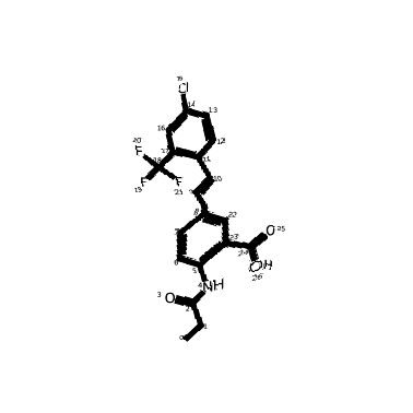 CCC(=O)Nc1ccc(/C=C/c2ccc(Cl)cc2C(F)(F)F)cc1C(=O)O